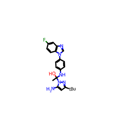 CC(C)(C)c1cc(N)n(C(C)(O)Nc2ccc(-n3cnc4cc(F)ccc43)cc2)n1